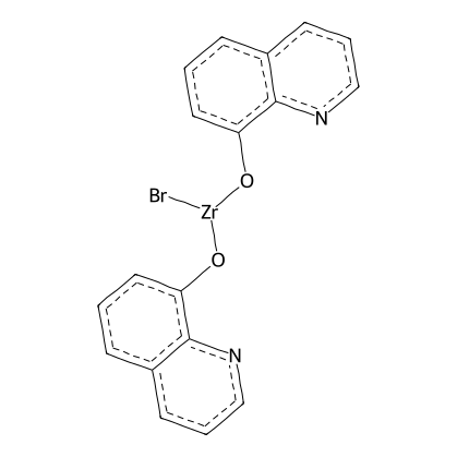 [Br][Zr]([O]c1cccc2cccnc12)[O]c1cccc2cccnc12